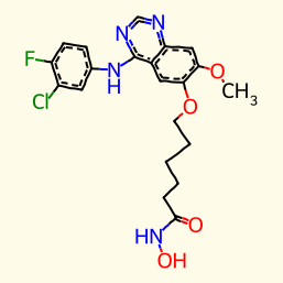 COc1cc2ncnc(Nc3ccc(F)c(Cl)c3)c2cc1OCCCCCC(=O)NO